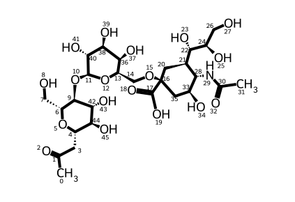 CC(=O)C[C@@H]1O[C@H](CO)[C@@H](O[C@@H]2O[C@H](CO[C@@]3(C(=O)O)C[C@@H]([C@H](O)[C@H](O)CO)[C@H](NC(C)=O)[C@@H](O)C3)[C@H](O)[C@H](O)[C@H]2O)[C@H](O)[C@H]1O